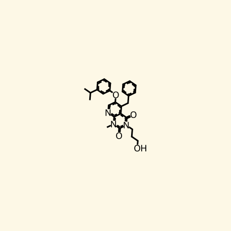 CC(C)c1cccc(Oc2cnc3c(c2Cc2ccccc2)c(=O)n(CCCO)c(=O)n3C)c1